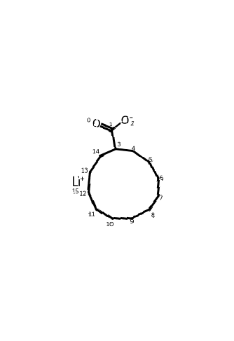 O=C([O-])C1CCCCCCCCCCC1.[Li+]